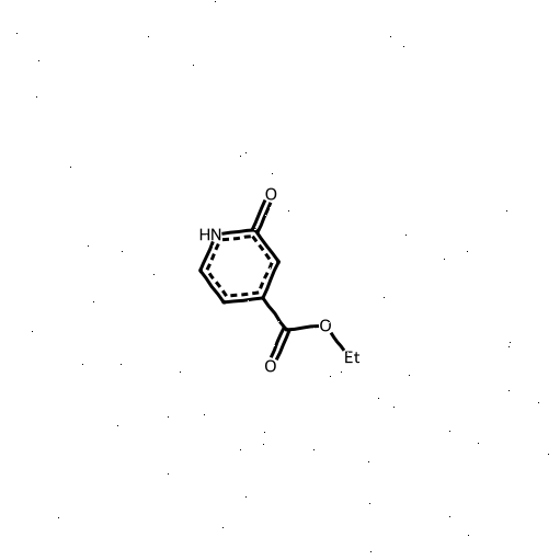 CCOC(=O)c1cc[nH]c(=O)c1